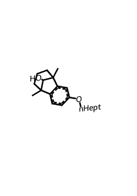 CCCCCCCOc1ccc2c(c1)C1(C)CCCC2(C)C1O